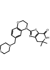 CC1(C)Cc2nc(N3CCOc4ccc(CN5CCOCC5)cc43)sc2C(=O)N1